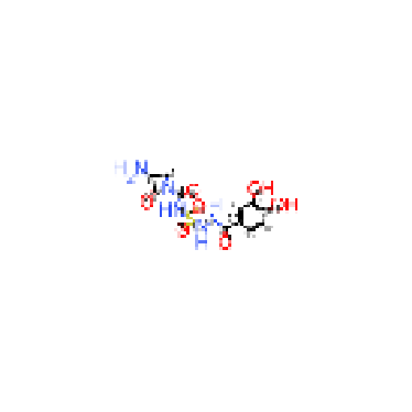 NC1CN(C(=O)NS(=O)(=O)NNC(=O)c2ccc(O)c(O)c2)C1=O